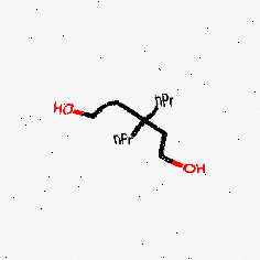 CCCC(CCC)(CCO)CCO